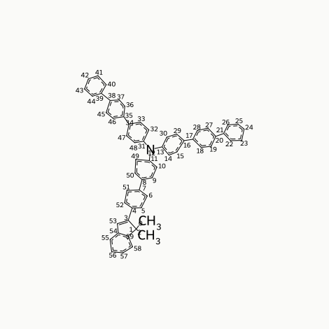 CC1(C)C(c2ccc(-c3ccc(N(c4ccc(-c5ccc(-c6ccccc6)cc5)cc4)c4ccc(-c5ccc(-c6ccccc6)cc5)cc4)cc3)cc2)=Cc2ccccc21